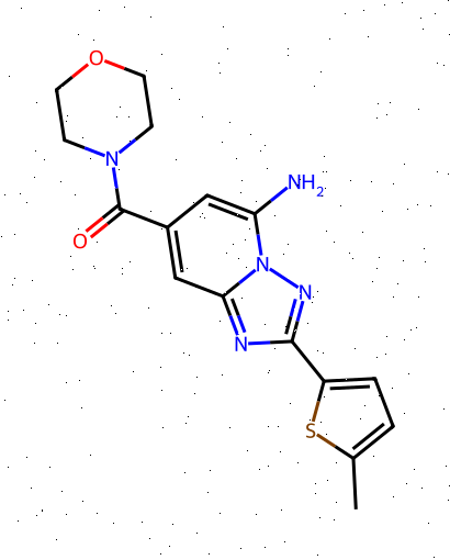 Cc1ccc(-c2nc3cc(C(=O)N4CCOCC4)cc(N)n3n2)s1